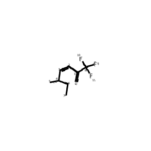 C=C(/C=C\C(C)CC)C(F)(F)F